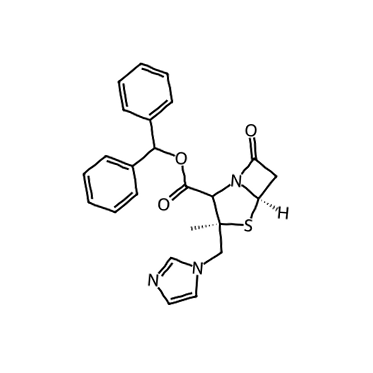 C[C@@]1(Cn2ccnc2)S[C@@H]2CC(=O)N2C1C(=O)OC(c1ccccc1)c1ccccc1